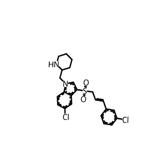 O=S(=O)(CC=Cc1cccc(Cl)c1)c1cn(CC2CCCCN2)c2ccc(Cl)cc12